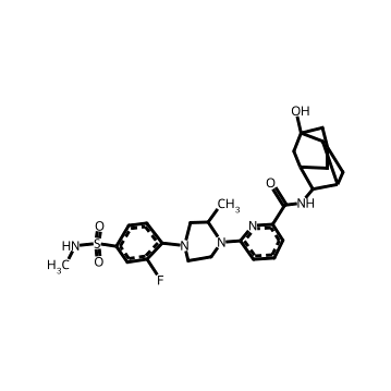 CNS(=O)(=O)c1ccc(N2CCN(c3cccc(C(=O)NC4C5CC6CC4CC(O)(C6)C5)n3)C(C)C2)c(F)c1